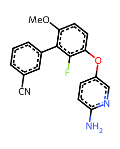 COc1ccc(Oc2ccc(N)nc2)c(F)c1-c1cccc(C#N)c1